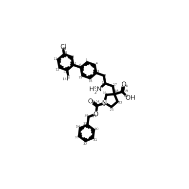 NC(Cc1ccc(-c2cc(Cl)ccc2F)cc1)CC1(C(=O)O)CCN(C(=O)OCc2ccccc2)C1